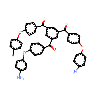 Cc1ccc(Oc2ccc(C(=O)c3cc(C(=O)c4ccc(Oc5ccc(N)cc5)cc4)cc(C(=O)c4ccc(Oc5ccc(N)cc5)cc4)c3)cc2)cc1